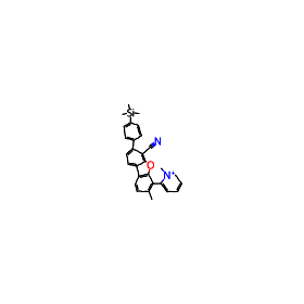 Cc1ccc2c(oc3c(C#N)c(-c4ccc([Si](C)(C)C)cc4)ccc32)c1-c1cccc[n+]1C